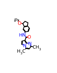 Cc1cc(C)n2ccc(C(=O)Nc3ccc4c(c3)C(OC(C)C)CC4)c2n1